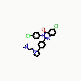 CN(C)CCn1cccc1-c1ccc(-c2nc3ccc(Cl)cc3c(=O)n2-c2ccc(Cl)cc2)cc1